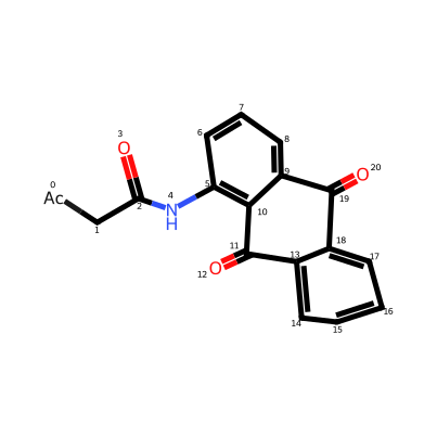 CC(=O)CC(=O)Nc1cccc2c1C(=O)c1ccccc1C2=O